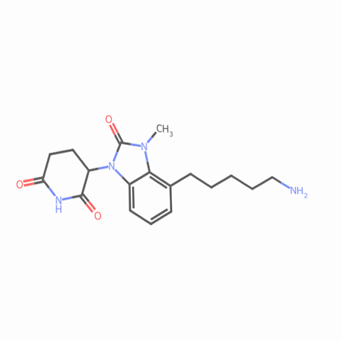 Cn1c(=O)n(C2CCC(=O)NC2=O)c2cccc(CCCCCN)c21